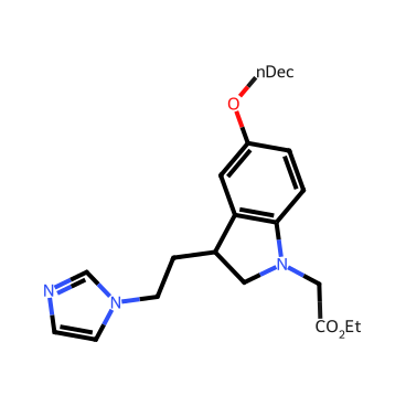 CCCCCCCCCCOc1ccc2c(c1)C(CCn1ccnc1)CN2CC(=O)OCC